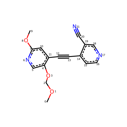 COCOc1cnc(OC)cc1C#Cc1ccncc1C#N